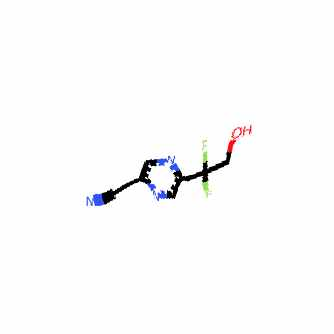 N#Cc1cnc(C(F)(F)CO)cn1